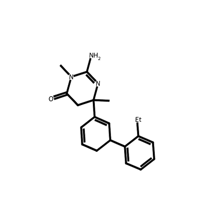 CCc1ccccc1C1C=C(C2(C)CC(=O)N(C)C(N)=N2)C=CC1